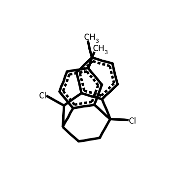 Cc1ccc2c(c1)C(Cl)C1CCC2(Cl)c2cc(C)ccc21